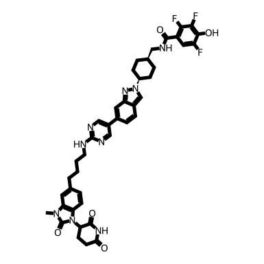 Cn1c(=O)n(C2CCC(=O)NC2=O)c2ccc(CCCCNc3ncc(-c4ccc5cn([C@H]6CC[C@H](CNC(=O)c7cc(F)c(O)c(F)c7F)CC6)nc5c4)cn3)cc21